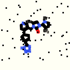 CCCCc1cn(-c2c(C(F)(F)F)ccn2C(C)C)c(=O)n1Cc1cnccc1-c1ccc(-c2nnn[nH]2)cc1